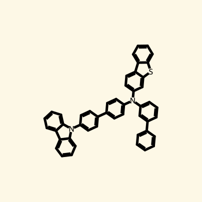 c1ccc(-c2cccc(N(c3ccc(-c4ccc(-n5c6ccccc6c6ccccc65)cc4)cc3)c3ccc4c(c3)sc3ccccc34)c2)cc1